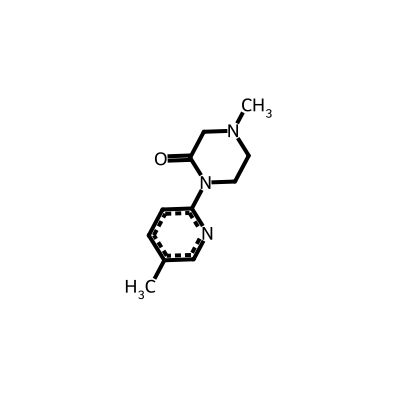 Cc1ccc(N2CCN(C)CC2=O)nc1